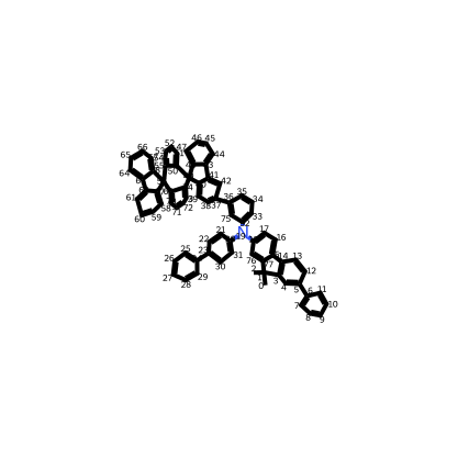 CC1(C)c2cc(-c3ccccc3)ccc2-c2ccc(N(c3ccc(-c4ccccc4)cc3)c3cccc(-c4ccc5c(c4)-c4ccccc4C54c5ccccc5C5(c6ccccc6-c6ccccc65)c5ccccc54)c3)cc21